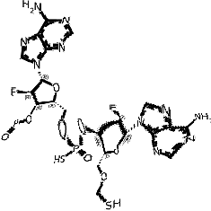 Nc1ncnc2c1ncn2[C@@H]1O[C@H](COP(=O)(S)O[C@H]2[C@@H](F)[C@H](n3cnc4c(N)ncnc43)O[C@@H]2COCS)[C@@H](OP=O)[C@H]1F